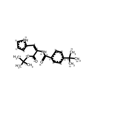 CC(C)(C)OC(=O)C(=Cc1ccc[nH]1)NC(=O)c1ccc(C(C)(C)C)cc1